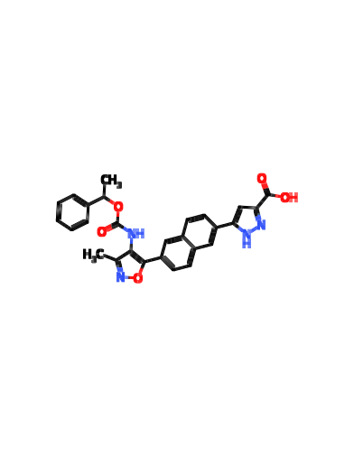 Cc1noc(-c2ccc3cc(-c4cc(C(=O)O)n[nH]4)ccc3c2)c1NC(=O)OC(C)c1ccccc1